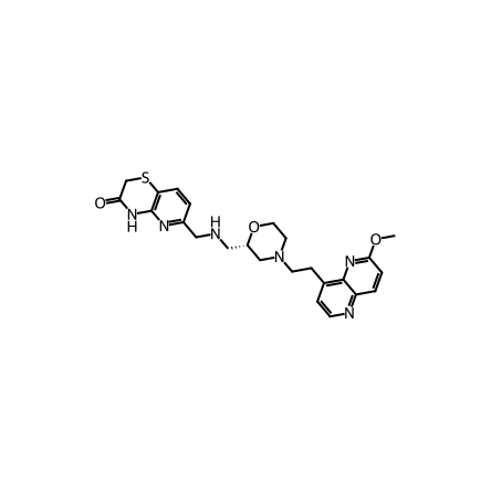 COc1ccc2nccc(CCN3CCO[C@@H](CNCc4ccc5c(n4)NC(=O)CS5)C3)c2n1